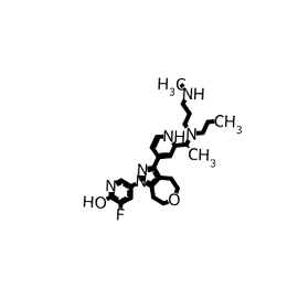 CCCN(CCCNC)[C@H](C)C1C=C(c2nn(-c3cnc(O)c(F)c3)c3c2CCOCC3)C=CN1